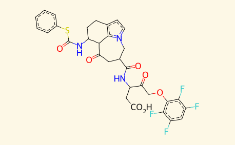 O=C(O)CC(NC(=O)C1CC(=O)C2c3c(ccn3C1)CCC2NC(=O)Sc1ccccc1)C(=O)COc1c(F)c(F)cc(F)c1F